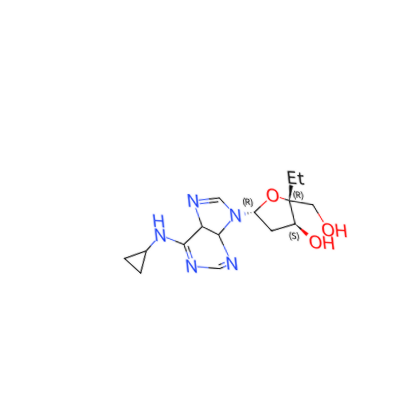 CC[C@]1(CO)O[C@@H](N2C=NC3C(NC4CC4)=NC=NC32)C[C@@H]1O